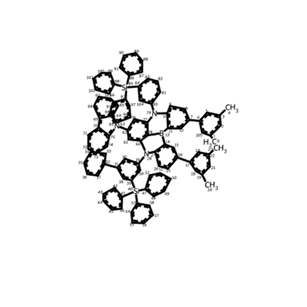 Cc1cc(C)cc(-c2ccc3c(c2)B2c4cc(-c5cc(C)cc(C)c5)ccc4N(c4cc(-c5ccccc5)cc([Si](c5ccccc5)(c5ccccc5)c5ccccc5)c4)c4cc(-n5c6ccccc6c6ccccc65)cc(c42)N3c2cccc([Si](c3ccccc3)(c3ccccc3)c3ccccc3)c2)c1